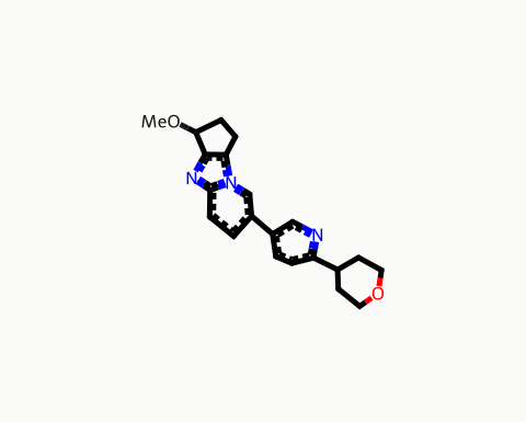 COC1CCc2c1nc1ccc(-c3ccc(C4CCOCC4)nc3)cn21